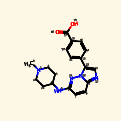 CN1CCC(Nc2ccc3ncc(-c4ccc(C(=O)O)cc4)n3n2)CC1